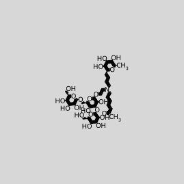 CC(=O)CCCCCN(CCCC[C@@H]1O[C@@H](C)[C@@H](O)[C@@H](O)[C@@H]1O)CCO[C@H]1O[C@H](CO[C@H]2O[C@H](CO)[C@@H](O)[C@H](O)[C@@H]2O)C(O)[C@H](O[C@H]2O[C@H](CO)[C@@H](O)[C@H](O)[C@@H]2O)[C@@H]1O